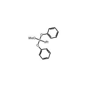 CCC[Si](OC)(Oc1ccccc1)Oc1ccccc1